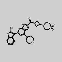 CCc1nc2ccccc2n1-c1nc(N2CCOCC2)c2nc(C(=O)N3CC(N4CCS(=O)(=O)CC4)C3)[nH]c2n1